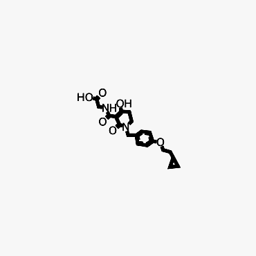 O=C(O)CNC(=O)C1=C(O)CCN(Cc2ccc(OCCC3CC3)cc2)C1=O